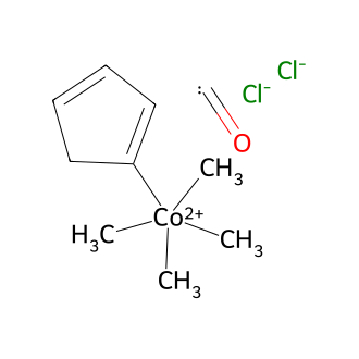 [CH3][Co+2]([CH3])([CH3])([CH3])[C]1=CC=CC1.[C]=O.[Cl-].[Cl-]